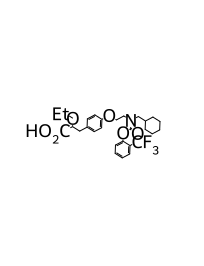 CCOC(Cc1ccc(OCCN(CC2CCCCC2)C(=O)Oc2ccccc2C(F)(F)F)cc1)C(=O)O